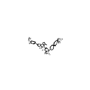 Cc1ccn(-c2cc(-c3ccc(OC(C)C)c(F)c3)ccc2C(Oc2cc(N3CCC4(CC3)CN[C@H](C(=O)O)C4)nc(N)n2)C(F)(F)F)n1